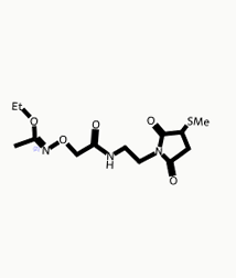 CCO/C(C)=N\OCC(=O)NCCN1C(=O)CC(SC)C1=O